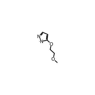 COCCOC1=CC=N[N]1